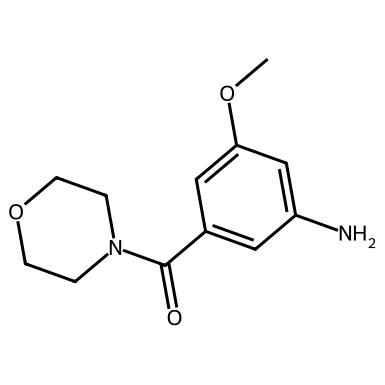 COc1cc(N)cc(C(=O)N2CCOCC2)c1